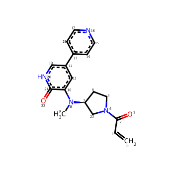 C=CC(=O)N1CC[C@H](N(C)c2cc(-c3ccncc3)c[nH]c2=O)C1